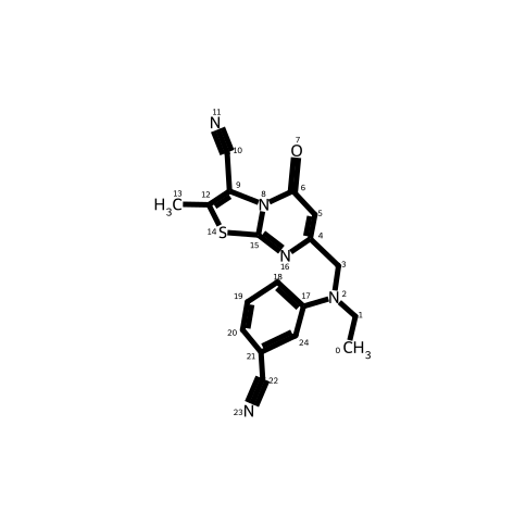 CCN(Cc1cc(=O)n2c(C#N)c(C)sc2n1)c1cccc(C#N)c1